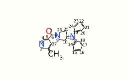 Cc1cncc(C(=O)N2CCC(N(c3ccccc3)c3ccccc3)CC2)c1